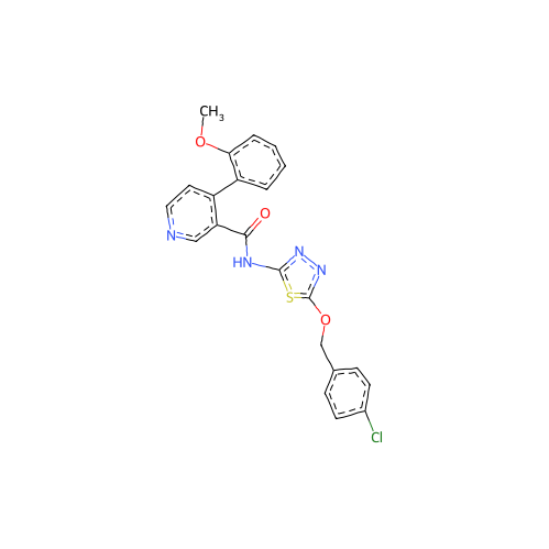 COc1ccccc1-c1ccncc1C(=O)Nc1nnc(OCc2ccc(Cl)cc2)s1